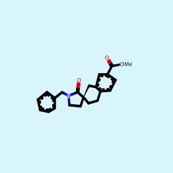 COC(=O)c1ccc2c(c1)C[C@@]1(CC2)CCN(Cc2ccccc2)C1=O